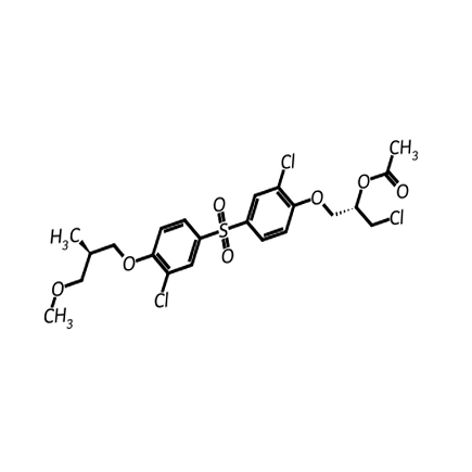 COC[C@@H](C)COc1ccc(S(=O)(=O)c2ccc(OC[C@@H](CCl)OC(C)=O)c(Cl)c2)cc1Cl